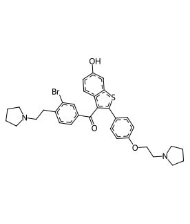 O=C(c1ccc(CCN2CCCC2)c(Br)c1)c1c(-c2ccc(OCCN3CCCC3)cc2)sc2cc(O)ccc12